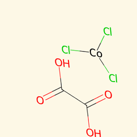 O=C(O)C(=O)O.[Cl][Co]([Cl])[Cl]